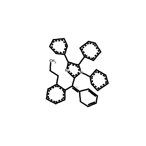 CCCc1ccccc1/C(=C1/C=CC=CC1)c1nc(-c2ccccc2)c(-c2ccccc2)n1-c1ccccc1